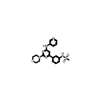 CS(=O)(=O)Nc1cccc(-c2cc(Nc3cccnc3)nc(N3CCOCC3)n2)c1